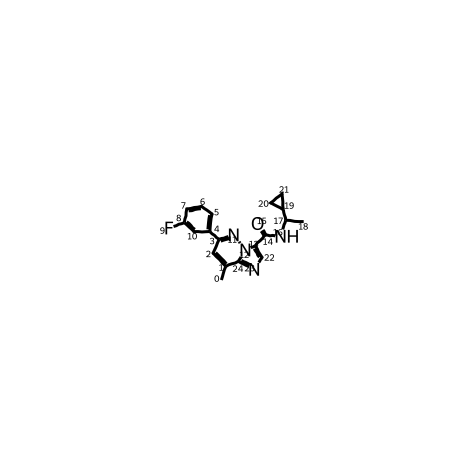 Cc1cc(-c2cccc(F)c2)nn2c(C(=O)NC(C)C3CC3)cnc12